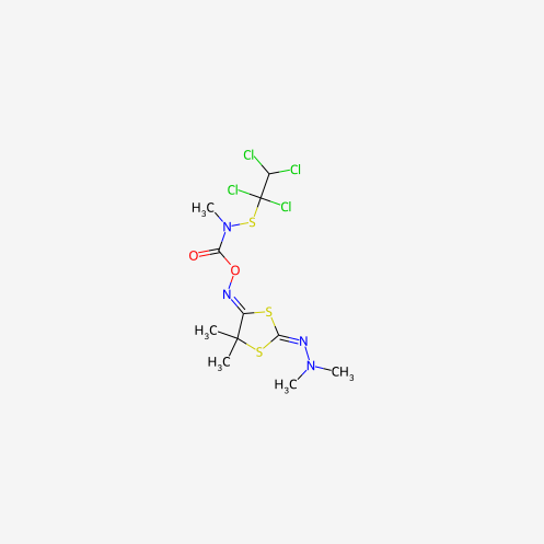 CN(C)N=C1SC(=NOC(=O)N(C)SC(Cl)(Cl)C(Cl)Cl)C(C)(C)S1